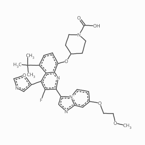 COCCOc1ccn2c(-c3nc4c(OC5CCN(C(=O)O)CC5)ccc(C(C)(C)C)c4c(-c4cnco4)c3F)cnc2c1